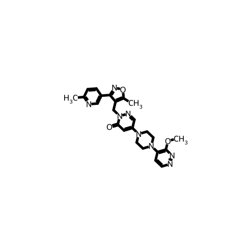 COc1nnccc1N1CCN(c2cnn(Cc3c(-c4ccc(C)nc4)noc3C)c(=O)c2)CC1